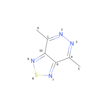 Cc1nnc(C)c2nsnc12